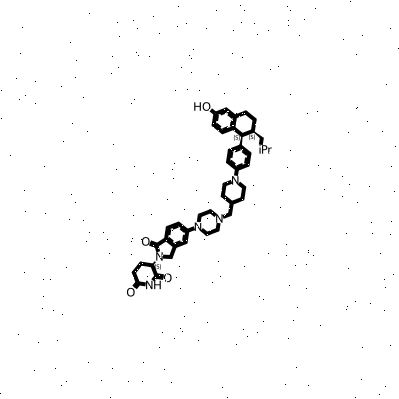 CC(C)C[C@@H]1CCc2cc(O)ccc2[C@@H]1c1ccc(N2CCC(CN3CCN(c4ccc5c(c4)CN([C@H]4CCC(=O)NC4=O)C5=O)CC3)CC2)cc1